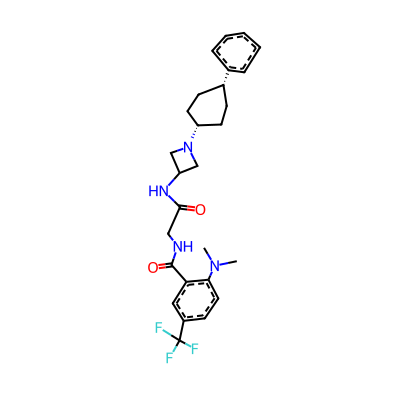 CN(C)c1ccc(C(F)(F)F)cc1C(=O)NCC(=O)NC1CN([C@H]2CC[C@@H](c3ccccc3)CC2)C1